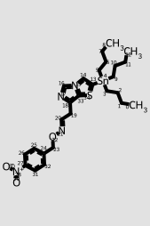 CCC[CH2][Sn]([CH2]CCC)([CH2]CCC)[c]1cn2cnc(CC=NOCc3ccc([N+](=O)[O-])cc3)c2s1